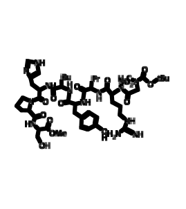 CCC(C)C(NC(=O)C(Cc1ccc(O)cc1)NC(=O)C(NC(=O)C(CCCNC(=N)N)N(C(=O)CN(C)C(=O)OC(C)(C)C)[N+](=O)[O-])C(C)C)C(=O)NC(Cc1c[nH]cn1)C(=O)N1CCCC1C(=O)NC(CO)C(=O)OC